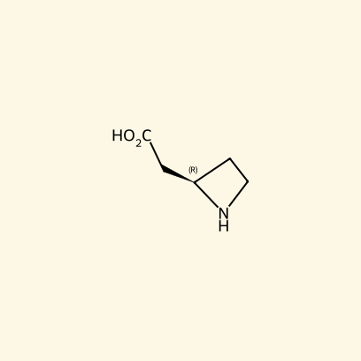 O=C(O)C[C@H]1CCN1